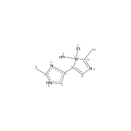 CCC[N+]1(CC)C(c2c[nH]c(C)n2)=[C]N=C1C